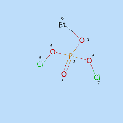 CCOP(=O)(OCl)OCl